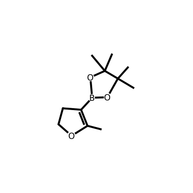 CC1=C(B2OC(C)(C)C(C)(C)O2)CCO1